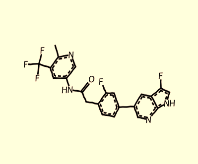 Cc1ncc(NC(=O)Cc2ccc(-c3cnc4[nH]cc(F)c4c3)cc2F)cc1C(F)(F)F